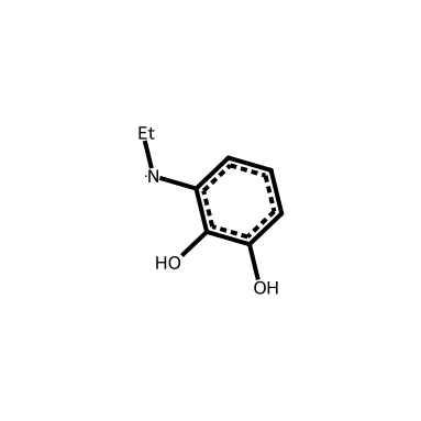 CC[N]c1cccc(O)c1O